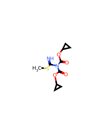 CSC(=N)N(C(=O)OC1CC1)C(=O)OC1CC1